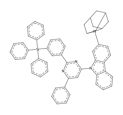 c1ccc(-c2cc(-n3c4ccccc4c4ccc(N5C6CC7CC(C6)CC5C7)cc43)nc(-c3cccc([Si](c4ccccc4)(c4ccccc4)c4ccccc4)c3)n2)cc1